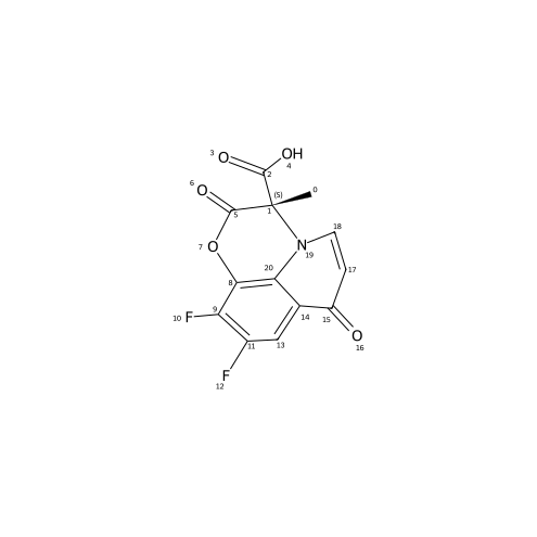 C[C@]1(C(=O)O)C(=O)Oc2c(F)c(F)cc3c(=O)ccn1c23